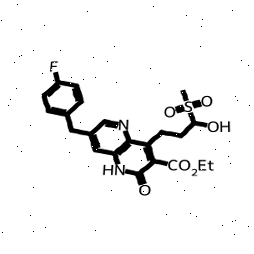 CCOC(=O)c1c(CCC(O)S(C)(=O)=O)c2ncc(Cc3ccc(F)cc3)cc2[nH]c1=O